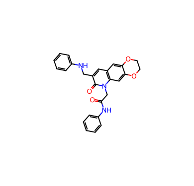 O=C(Cn1c(=O)c(CNc2ccccc2)cc2cc3c(cc21)OCCO3)Nc1ccccc1